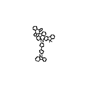 CC1(C)c2ccccc2-c2ccc(N(c3ccc(-c4ccc(-n5c6c(c7ccccc75)CCC=C6)cc4)cc3)c3cccc4c3-c3ccccc3C43c4ccccc4-c4ccccc4-c4ccccc43)cc21